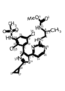 COC(=O)N[C@@H](C)CNc1nccc(-c2sc(C3CC3)nc2-c2cc(Cl)cc(NS(C)(=O)=O)c2Cl)n1